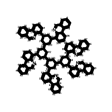 c1ccc2c(c1)cnc1c(C3CC(c4cccc5c4ncc4ccccc45)CC(C4CC(c5cccc6c5ncc5ccccc56)CC(C5CC(c6cccc7c6ncc6ccccc67)CC(C6CC(c7cccc8c7ncc7ccccc78)CC(c7cccc8c7ncc7ccccc78)C6)C5)C4)C3)cccc12